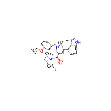 COc1cccc(CN2C[C@H](C(=O)N3[C@@H](C)C[C@@H]3C)C=C3c4cccc5[nH]cc(c45)C[C@H]32)c1